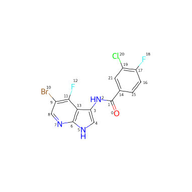 O=C(Nc1c[nH]c2ncc(Br)c(F)c12)c1ccc(F)c(Cl)c1